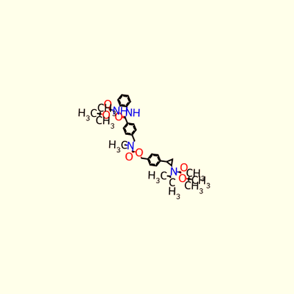 CC(C)N(C(=O)OC(C)(C)C)[C@H]1CC1c1ccc(COC(=O)N(C)Cc2ccc(C(=O)Nc3ccccc3NC(=O)OC(C)(C)C)cc2)cc1